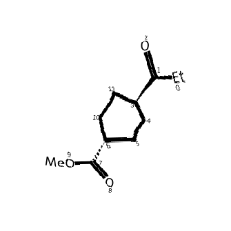 CCC(=O)[C@H]1CC[C@H](C(=O)OC)CC1